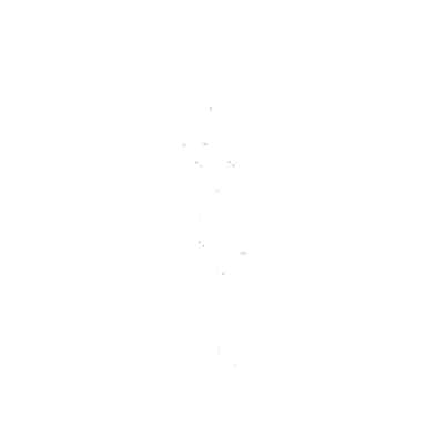 CC1(Cc2ccnc(NS(=O)(=O)c3ccc(Cl)cc3)c2)NC(=O)N(c2ccc(OC(F)(F)F)cc2)C1=O